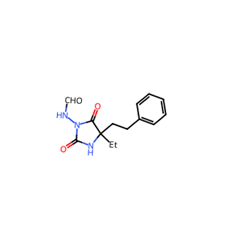 CCC1(CCc2ccccc2)NC(=O)N(NC=O)C1=O